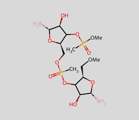 B[C@@H]1O[C@H](COP(C)(=O)OC2[C@@H](COC)O[C@@H](B)[C@H]2O)C(OP(C)(=O)OC)[C@@H]1O